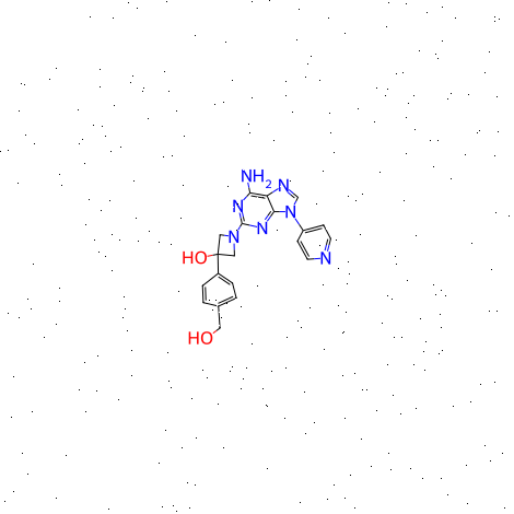 Nc1nc(N2CC(O)(c3ccc(CO)cc3)C2)nc2c1ncn2-c1ccncc1